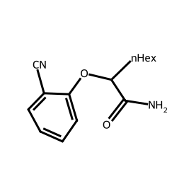 CCCCCCC(Oc1ccccc1C#N)C(N)=O